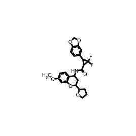 COc1ccc2c(c1)OC(C1CCCO1)CC2NC(=O)C1C(c2ccc3c(c2)OCO3)C1(F)F